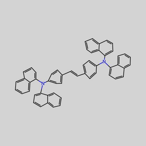 C(=Cc1ccc(N(c2cccc3ccccc23)c2cccc3ccccc23)cc1)c1ccc(N(c2cccc3ccccc23)c2cccc3ccccc23)cc1